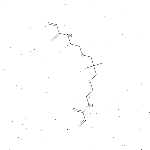 C=CC(=O)NCCOCC(C)(C)COCCNC(=O)C=C